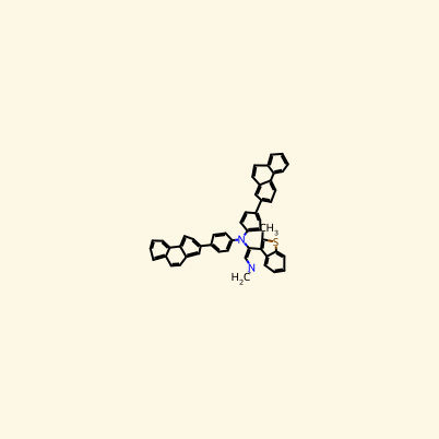 C=N/C=C(\c1c(C)sc2ccccc12)N(c1ccc(-c2ccc3c(ccc4ccccc43)c2)cc1)c1ccc(-c2ccc3c(ccc4ccccc43)c2)cc1